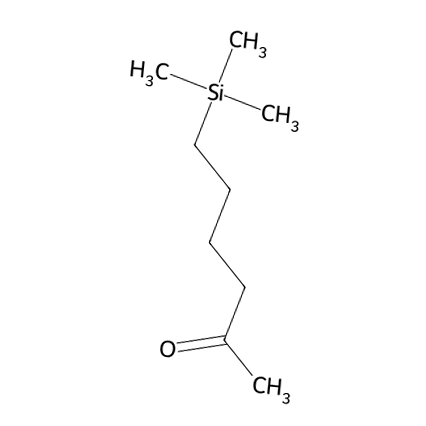 CC(=O)CCCC[Si](C)(C)C